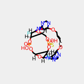 O=P1(O)OC[C@H]2O[C@@H]3[C@H](F)[C@@H]2O[P@@](O)(=S)OC[C@H]2OC([C@H](F)[C@@H]2O1)n1cnc2c(ncnc21)OC/C=C/COc1ncnc2c1ncn23